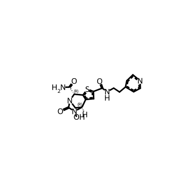 NC(=O)[C@@H]1c2sc(C(=O)NCCc3ccncc3)cc2[C@@H]2CN1C(=O)N2O